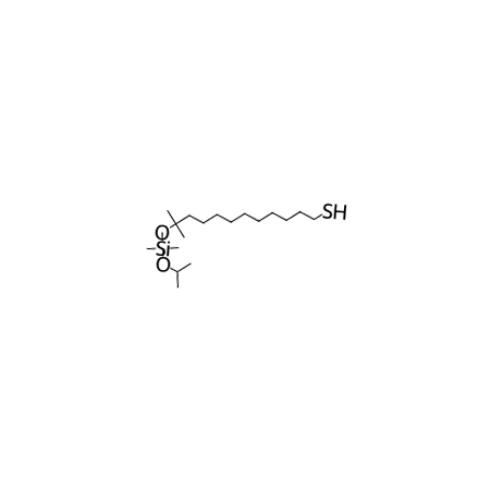 CC(C)O[Si](C)(C)OC(C)(C)CCCCCCCCCCS